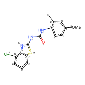 COc1ccc(NC(=O)Nc2nc3c(Cl)cccc3s2)c(C)c1